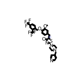 COc1cc(/C=C2/SC(N3CCN(Cc4ccncc4)CC3)=NC2=O)ccc1OCc1ccc(C(F)(F)F)cc1C(F)(F)F